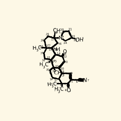 CC1(C)C(=O)C(C#N)=CC2C3=CC(=O)C4[C@@H]5CC(C)(N6CCC(O)C6)CCC5(C)CC[C@@]4(C)C3(C)CCC21